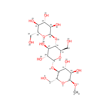 CO[C@H]1O[C@H](CO)[C@@H](O[C@H]2O[C@H](CO)[C@@H](O[C@H]3O[C@H](CO)[C@@H](O)[C@H](O)[C@H]3O)[C@H](O)[C@H]2O)[C@H](O)[C@H]1O